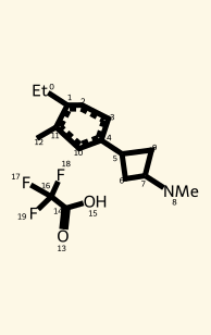 CCc1ccc(C2CC(NC)C2)cc1C.O=C(O)C(F)(F)F